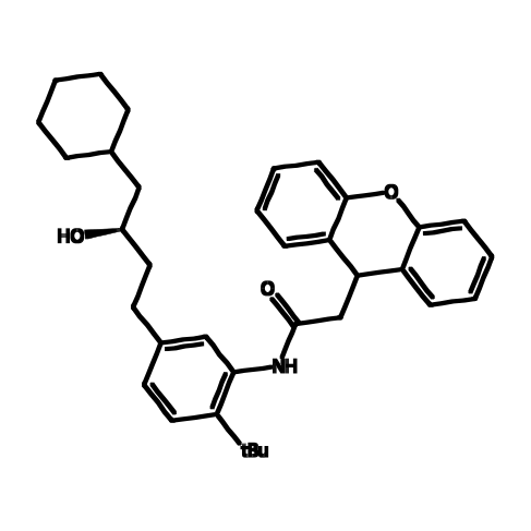 CC(C)(C)c1ccc(CC[C@@H](O)CC2CCCCC2)cc1NC(=O)CC1c2ccccc2Oc2ccccc21